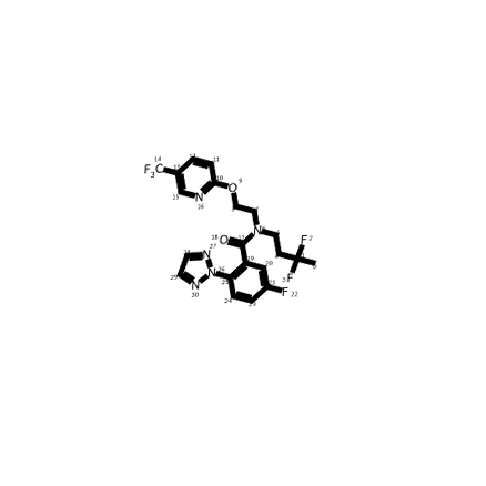 CC(F)(F)CCN(CCOc1ccc(C(F)(F)F)cn1)C(=O)c1cc(F)ccc1-n1nccn1